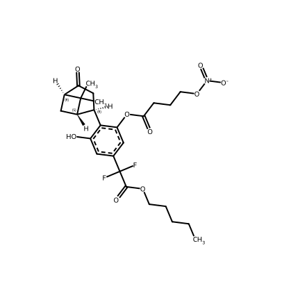 CCCCCOC(=O)C(F)(F)c1cc(O)c([C@@H]2CC(=O)[C@@H]3C[C@@H]2C3(C)C)c(OC(=O)CCCO[N+](=O)[O-])c1